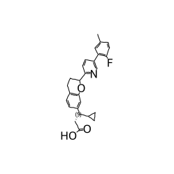 Cc1ccc(F)c(-c2ccc(C3CCc4ccc([C@@H](CC(=O)O)C5CC5)cc4O3)nc2)c1